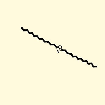 CCCCCCCCCCCCCCOCCCCCCCCCCCCCC.[V]